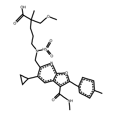 CNC(=O)c1c(-c2ccc(C)cc2)oc2nc(CN(CCCC(C)(COC)C(=O)O)[SH](=O)=O)c(C3CC3)cc12